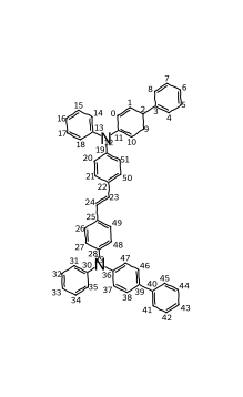 C1=CC(c2ccccc2)CC=C1N(c1ccccc1)c1ccc(/C=C/c2ccc(N(c3ccccc3)c3ccc(-c4ccccc4)cc3)cc2)cc1